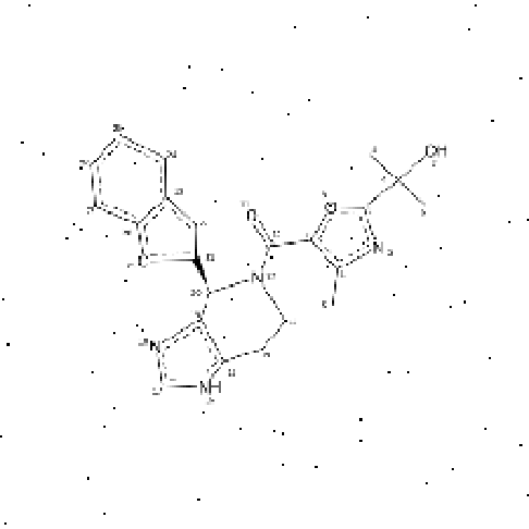 Cc1nc(C(C)(C)O)oc1C(=O)N1CCc2[nH]cnc2[C@H]1c1cc2ccccc2o1